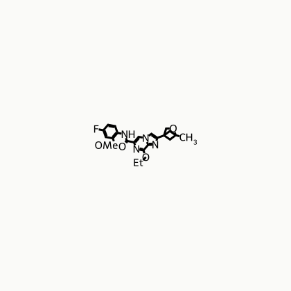 CCOc1nc(C(=O)Nc2ccc(F)cc2OC)cn2cc(C34COC(C)(C3)C4)nc12